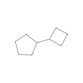 C1CC[C](C2CCC2)C1